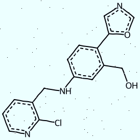 OCc1cc(NCc2cccnc2Cl)ccc1-c1cnco1